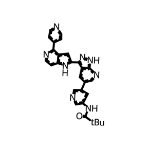 CC(C)(C)C(=O)Nc1cncc(-c2cnc3[nH]nc(-c4cc5c(-c6ccncc6)nccc5[nH]4)c3c2)c1